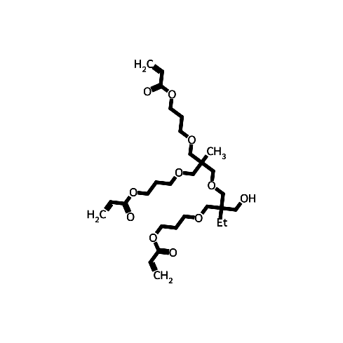 C=CC(=O)OCCCOCC(C)(COCCCOC(=O)C=C)COCC(CC)(CO)COCCCOC(=O)C=C